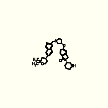 CC1(C)C[C@@H](c2ccc3cc(CN4CC[C@H](Oc5ccc6c(c5)CN([C@H]5CCCNC5)C6=O)C4)ncc3c2)CCO1